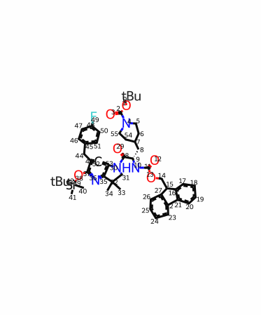 CC(C)(C)OC(=O)N1CCC(C[C@H](NC(=O)OCC2c3ccccc3-c3ccccc32)C(=O)N2CC(C)(C)c3nc(O[Si](C)(C)C(C)(C)C)c(Cc4ccc(F)cc4)cc32)CC1